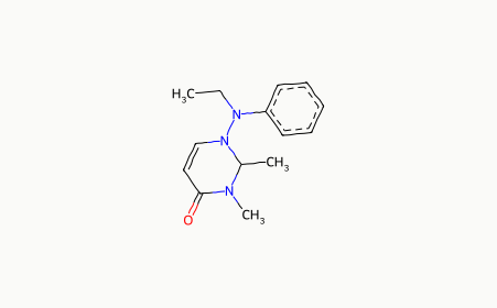 CCN(c1ccccc1)N1C=CC(=O)N(C)C1C